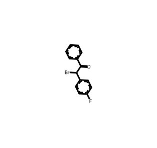 O=C(c1ccccc1)C(Br)c1ccc(F)cc1